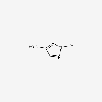 [CH2]Cn1cc(C(=O)O)cn1